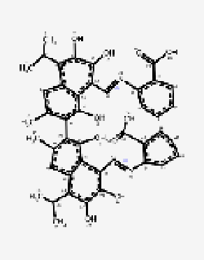 Cc1cc2c(C(C)C)c(O)c(O)c(/C=N/c3ccccc3C(=O)O)c2c(O)c1-c1c(C)cc2c(C(C)C)c(O)c(O)c(/C=N/c3ccccc3C(=O)O)c2c1O